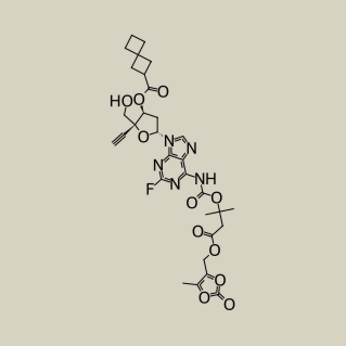 C#C[C@]1(CO)O[C@@H](n2cnc3c(NC(=O)OC(C)(C)CC(=O)OCc4oc(=O)oc4C)nc(F)nc32)C[C@@H]1OC(=O)C1CC2(CCC2)C1